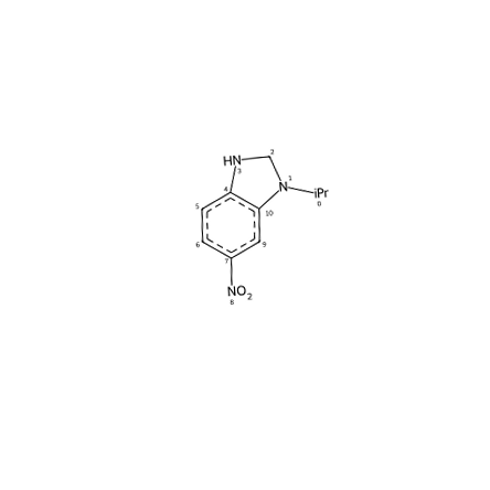 CC(C)N1CNc2ccc([N+](=O)[O-])cc21